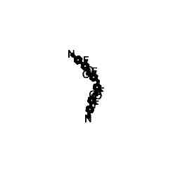 N#Cc1ccc(-c2ccc(OC(=O)c3ccc(Cc4ccc(C(=O)Oc5ccc(-c6ccc(C#N)cc6)c(F)c5)c(F)c4)cc3F)cc2F)cc1